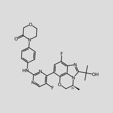 C[C@H]1COc2c(-c3nc(Nc4ccc(N5CCOCC5=O)cc4)ncc3F)cc(F)c3nc(C(C)(C)O)n1c23